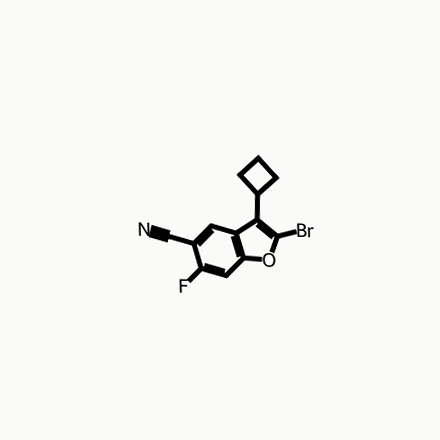 N#Cc1cc2c(C3CCC3)c(Br)oc2cc1F